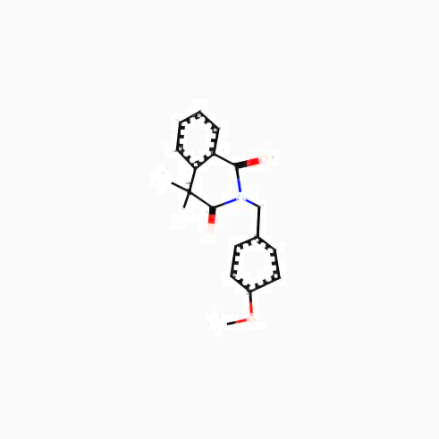 COc1ccc(CN2C(=O)c3ccccc3C(C)(C)C2=O)cc1